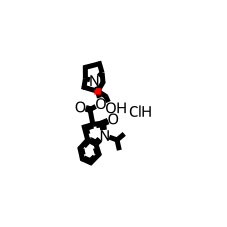 CC(C)n1c(=O)c(C(=O)OC2CC3CCC(C2)N3CCO)cc2ccccc21.Cl